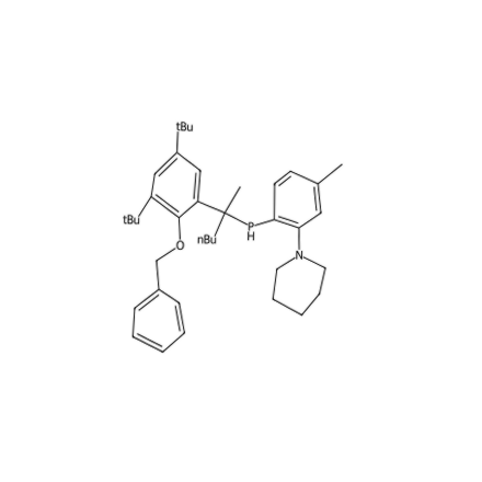 CCCCC(C)(Pc1ccc(C)cc1N1CCCCC1)c1cc(C(C)(C)C)cc(C(C)(C)C)c1OCc1ccccc1